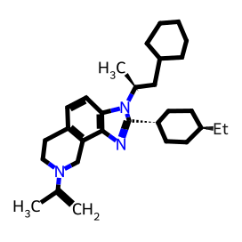 C=C(C)N1CCc2ccc3c(nc([C@H]4CC[C@H](CC)CC4)n3[C@@H](C)CC3CCCCC3)c2C1